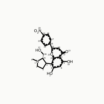 CN1CCC(c2c(O)cc(O)c3c(=O)cc(-c4ccc([N+](=O)[O-])cc4)oc23)[C@H]1CO